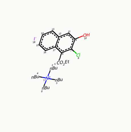 CCCC[N+](CCCC)(CCCC)CCCC.CCOC(=O)c1c(Cl)c(O)cc2ccccc12.[I-]